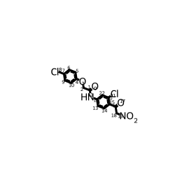 O=C(COc1ccc(Cl)cc1)Nc1ccc(C(=O)C[N+](=O)[O-])c(Cl)c1